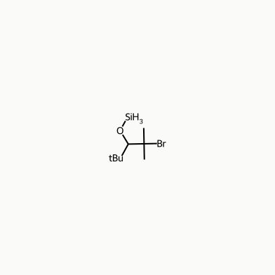 CC(C)(C)C(O[SiH3])C(C)(C)Br